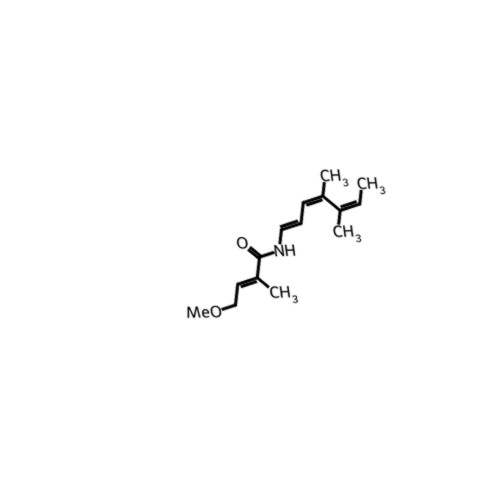 C\C=C(C)/C(C)=C\C=C\NC(=O)/C(C)=C/COC